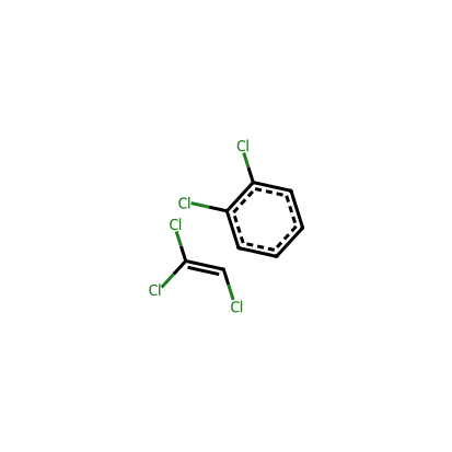 ClC=C(Cl)Cl.Clc1ccccc1Cl